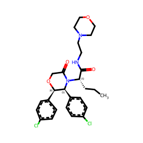 CCC[C@@H](C(=O)NCCN1CCOCC1)N1C(=O)CO[C@H](c2ccc(Cl)cc2)[C@@H]1c1ccc(Cl)cc1